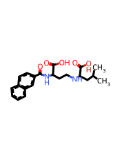 CC(C)CC(NCCC(NC(=O)c1ccc2ccccc2c1)C(=O)O)C(=O)O